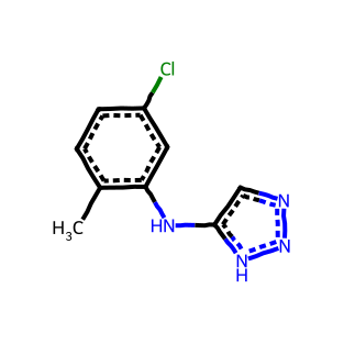 Cc1ccc(Cl)cc1Nc1cnn[nH]1